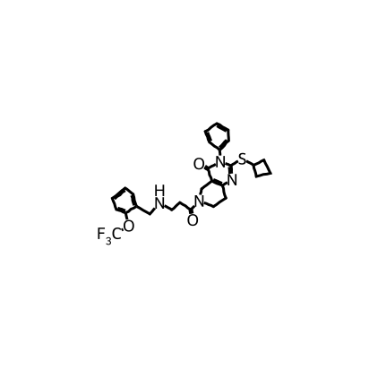 O=C(CCNCc1ccccc1OC(F)(F)F)N1CCc2nc(SC3CCC3)n(-c3ccccc3)c(=O)c2C1